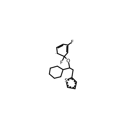 FC1=CC(F)(OC(Cc2cccs2)C2CCCCC2)[CH]C=C1